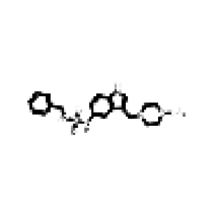 CN1CCN(Cc2c[nH]c3ccc(NS(=O)(=O)NCc4ccccc4)cc23)CC1